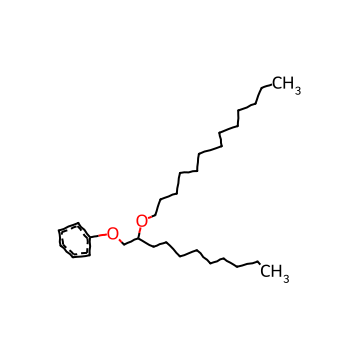 CCCCCCCCCCCCCOC(CCCCCCCCC)COc1ccccc1